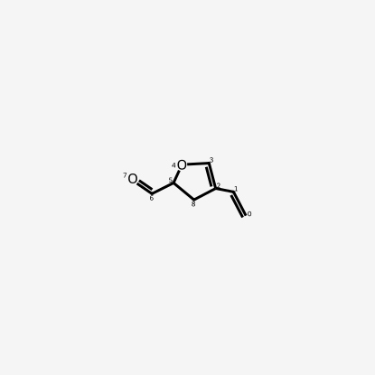 C=CC1=COC(C=O)C1